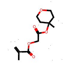 C=C(C)C(=O)OCC(=O)OC1(C)CCOCC1